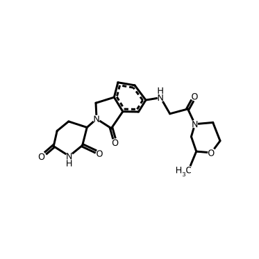 CC1CN(C(=O)CNc2ccc3c(c2)C(=O)N(C2CCC(=O)NC2=O)C3)CCO1